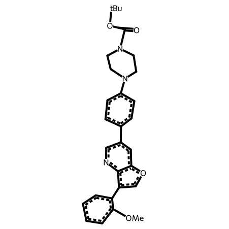 COc1ccccc1-c1coc2cc(-c3ccc(N4CCN(C(=O)OC(C)(C)C)CC4)cc3)cnc12